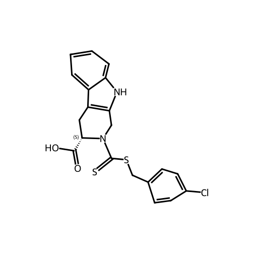 O=C(O)[C@@H]1Cc2c([nH]c3ccccc23)CN1C(=S)SCc1ccc(Cl)cc1